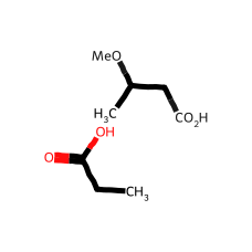 CCC(=O)O.COC(C)CC(=O)O